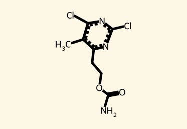 Cc1c(Cl)nc(Cl)nc1CCOC(N)=O